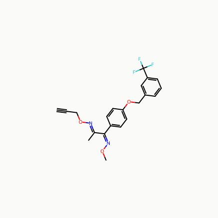 C#CCON=C(C)C(=NOC)c1ccc(OCc2cccc(C(F)(F)F)c2)cc1